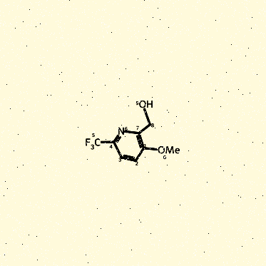 COc1ccc(C(F)(F)F)nc1CO